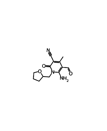 Cc1c(C=O)c(N)n(CC2CCCO2)c(=O)c1C#N